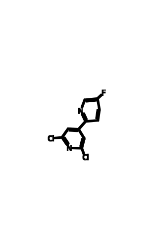 Fc1ccc(-c2cc(Cl)nc(Cl)c2)nc1